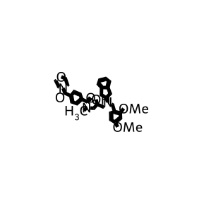 COc1ccc(CN(CC(O)CN(C)C(=O)c2ccc(C(=O)N3CCOCC3)cc2)C2Cc3ccccc3C2)c(OC)c1